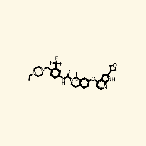 CCN1CCN(Cc2ccc(NC(=O)N3CCc4ccc(Oc5ccnc6[nH]c(C7COC7)cc56)cc4[C@@H]3C)cc2C(F)(F)F)CC1